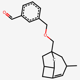 CC1C=C2CC3CC(COCc4cccc(C=O)c4)(C1)CC23